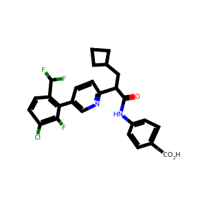 O=C(O)c1ccc(NC(=O)C(CC2CCC2)c2ccc(-c3c(C(F)F)ccc(Cl)c3F)cn2)cc1